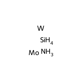 N.[Mo].[SiH4].[W]